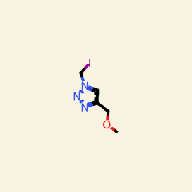 COCc1cn(CI)nn1